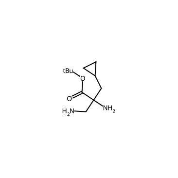 CC(C)(C)OC(=O)C(N)(CN)CC1CC1